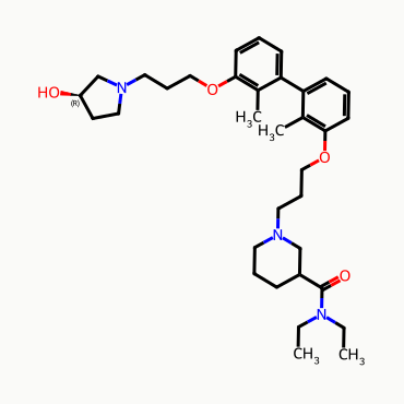 CCN(CC)C(=O)C1CCCN(CCCOc2cccc(-c3cccc(OCCCN4CC[C@@H](O)C4)c3C)c2C)C1